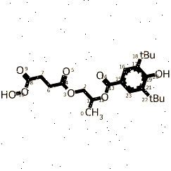 CC(COC(=O)CCC(=O)OO)OC(=O)c1cc(C(C)(C)C)c(O)c(C(C)(C)C)c1